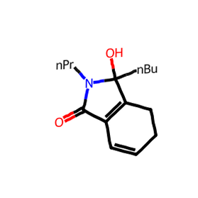 CCCCC1(O)C2=C(C=CCC2)C(=O)N1CCC